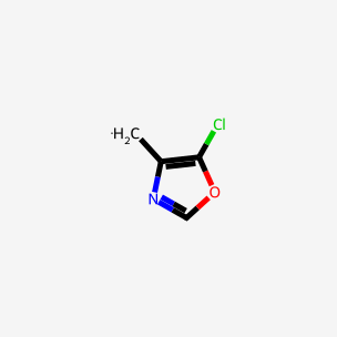 [CH2]c1ncoc1Cl